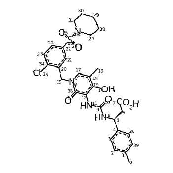 Cc1ccc([C@H](CC(=O)O)NC(=O)Nc2c(O)c(C)cn(Cc3cc(S(=O)(=O)N4CCCCC4)ccc3Cl)c2=O)cc1